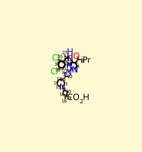 CC(C)C(O)c1cnc(N2CC([C@H]3CCCN([C@H]4C[C@](C)(C(=O)O)C4)C3)C2)nc1N[C@H](C)c1ccc(Cl)cc1Cl